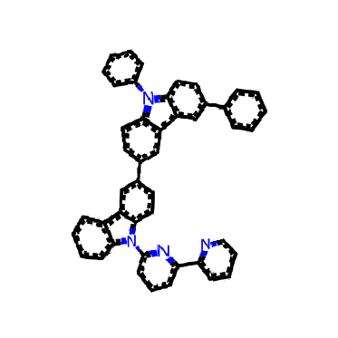 c1ccc(-c2ccc3c(c2)c2cc(-c4ccc5c(c4)c4ccccc4n5-c4cccc(-c5ccccn5)n4)ccc2n3-c2ccccc2)cc1